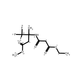 CCOC(=O)CC(=O)NC(C)(CC(=O)OC)C(F)(F)F